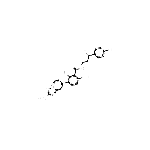 Cc1ccc(-c2ccn3nc(N)nc3c2)c(F)c1C(=O)NCCC(F)c1ccc(Cl)cc1